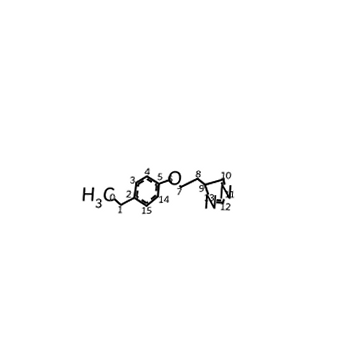 CCc1ccc(OCCC2C=NC=N2)cc1